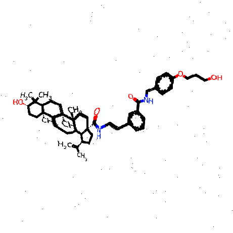 C=C(C)[C@@H]1CC[C@]2(C(=O)NCCc3cccc(C(=O)NCc4ccc(OCCCO)cc4)c3)CC[C@]3(C)C(CCC4[C@@]5(C)CC[C@H](O)C(C)(C)C5CC[C@]43C)C12